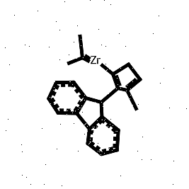 CC1=CC[C]([Zr]=[C](C)C)=C1C1c2ccccc2-c2ccccc21